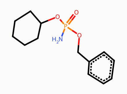 NP(=O)(OCc1ccccc1)OC1CCCCC1